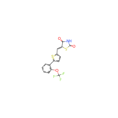 O=C1NC(=O)C(=Cc2ccc(-c3ccccc3OC(F)(F)F)s2)S1